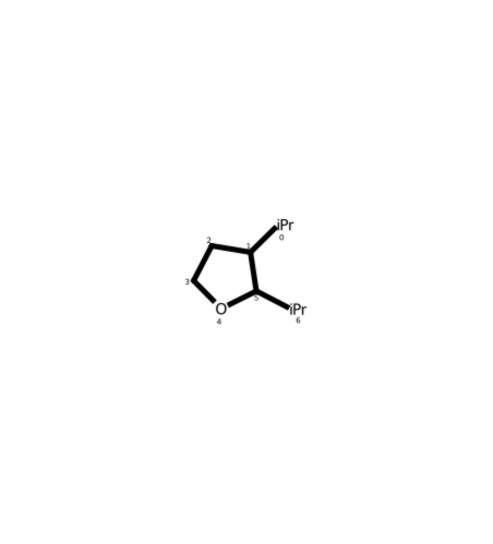 CC(C)C1CCOC1C(C)C